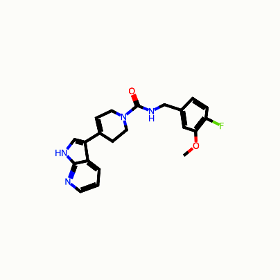 COc1cc(CNC(=O)N2CC=C(c3c[nH]c4ncccc34)CC2)ccc1F